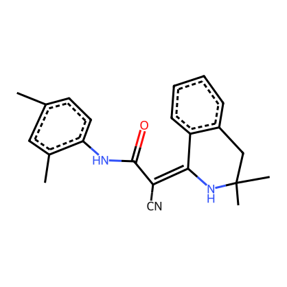 Cc1ccc(NC(=O)/C(C#N)=C2/NC(C)(C)Cc3ccccc32)c(C)c1